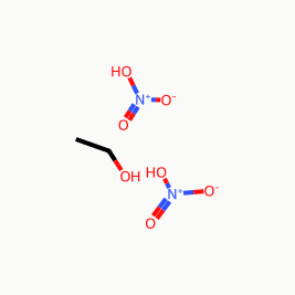 CCO.O=[N+]([O-])O.O=[N+]([O-])O